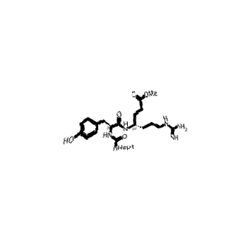 CCCCCCCC(=O)N[C@@H](Cc1ccc(O)cc1)C(=O)N[C@@H](CCCNC(=N)N)CCC(=O)OC